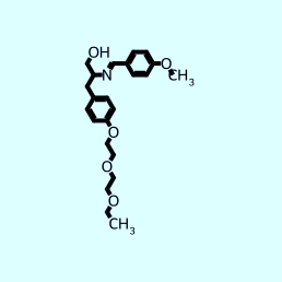 CCOCCOCCOc1ccc(CC(CO)/N=C/c2ccc(OC)cc2)cc1